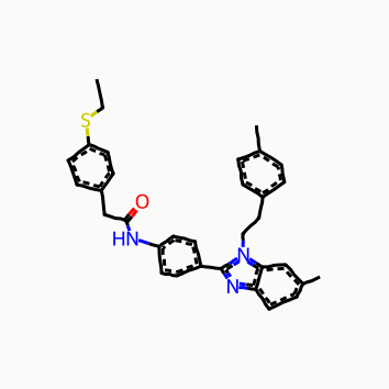 CCSc1ccc(CC(=O)Nc2ccc(-c3nc4ccc(C)cc4n3CCc3ccc(C)cc3)cc2)cc1